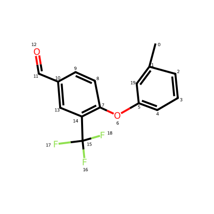 Cc1cccc(Oc2ccc(C=O)cc2C(F)(F)F)c1